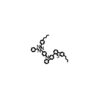 CCCCc1ccc(-c2nc(-c3ccccc3)nc(-c3ccc(-n4c5ccccc5c5ccc(-c6cccc7c6sc6cc(CCCC)ccc67)cc54)cc3)n2)cc1